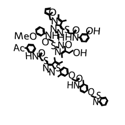 CC(=O)c1cccc(NC(=O)CSc2ncnc3sc(C)c(C)c23)c1.COc1cccc(NC(=O)CSc2nc(C)c(CCO)c(=O)[nH]2)c1.Cc1c(C)n(Cc2ccco2)c2ncnc(SCC(=O)Nc3cccc(O)c3)c12.Cc1cccc(OCC(=O)Nc2ccc(OCc3nc4ccccc4s3)cc2C)c1